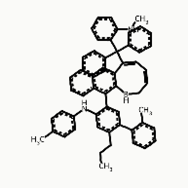 CCCc1cc(Nc2ccc(C)cc2)c(-c2c3c(cc4ccccc24)/C(C(c2ccccc2)(c2ccccc2)c2ccccc2NC)=C\C=C/CB3)cc1-c1ccccc1C